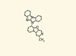 Cc1cc2c(cn1)oc1c(-n3c4ccccc4n4c5ccccc5nc34)cccc12